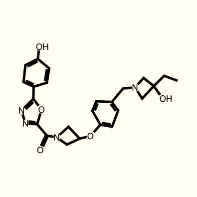 CCC1(O)CN(Cc2ccc(OC3CN(C(=O)c4nnc(-c5ccc(O)cc5)o4)C3)cc2)C1